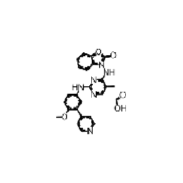 COc1ccc(Nc2ncc(C)c(Nn3c(=O)oc4ccccc43)n2)cc1-c1ccncc1.O=CO